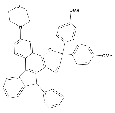 COc1ccc(C2(c3ccc(OC)cc3)C=Cc3c4c(c5ccc(N6CCOCC6)cc5c3O2)-c2ccccc2C4c2ccccc2)cc1